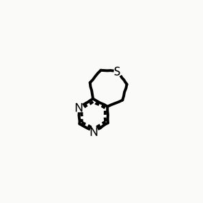 c1ncc2c(n1)CCSCC2